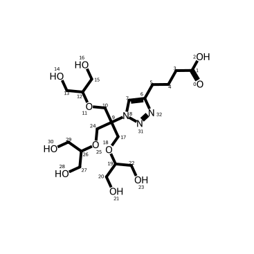 O=C(O)CCCc1cn(C(COC(CO)CO)(COC(CO)CO)COC(CO)CO)nn1